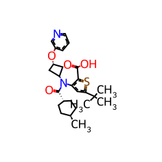 CC(C)(C)c1cc(N(C(=O)[C@H]2CC[C@H](C)CC2)[C@H]2C[C@@H](Oc3cccnc3)C2)c(C(=O)O)s1